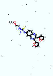 COCCNC(=S)Nc1ccc2nc(-c3ccco3)c(-c3ccco3)nc2c1